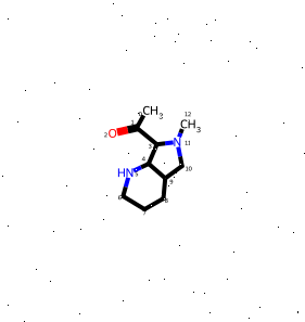 CC(=O)C1C2NCCCC2CN1C